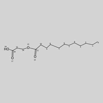 CCCCCCCCCCCC(=O)OCCC(=O)O